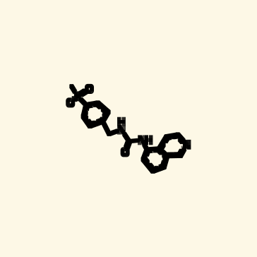 CS(=O)(=O)c1ccc(CNC(=O)Nc2cccc3cnccc23)cc1